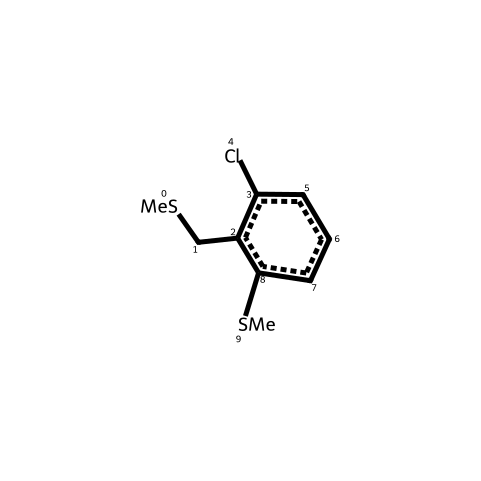 CSCc1c(Cl)cccc1SC